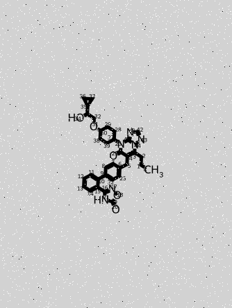 CCCc1c(Cc2ccc(-c3ccccc3-c3noc(=O)[nH]3)cc2)c(=O)n(C2CCC(OCC(O)C3CC3)CC2)c2ncnn12